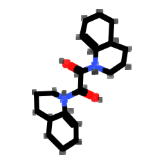 O=C(C(=O)N1CCCC2CCCC=C21)N1CCCC2CCCC=C21